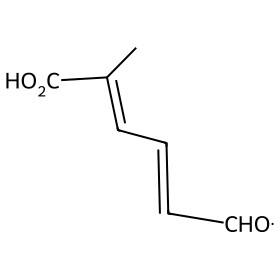 CC(=CC=C[C]=O)C(=O)O